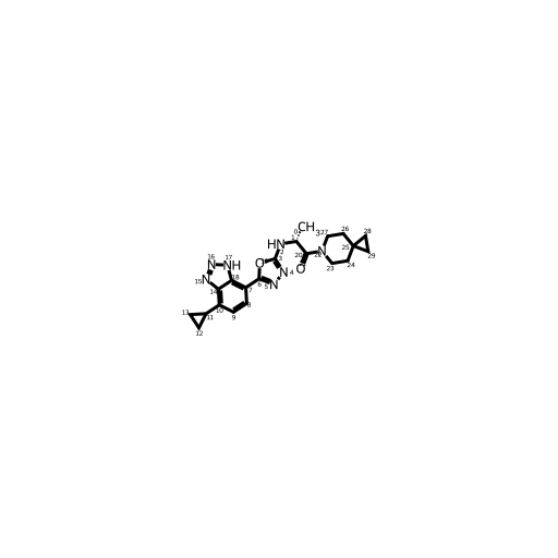 C[C@@H](Nc1nnc(-c2ccc(C3CC3)c3nn[nH]c23)o1)C(=O)N1CCC2(CC1)CC2